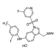 CNCc1cn(S(=O)(=O)c2cncc(F)c2)c2cc(Nc3ccc(C)cc3F)ccc12.Cl